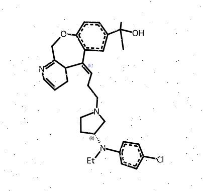 CCN(c1ccc(Cl)cc1)[C@@H]1CCN(CC/C=C2/c3cc(C(C)(C)O)ccc3OCC3=NC=CCC32)C1